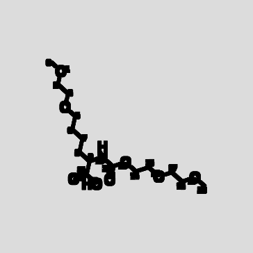 COCCOCCCCC(NC(=O)OCCOCCOC)C(=O)O